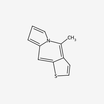 Cc1c2ccsc2cc2cccn12